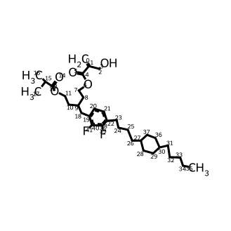 C=C(CO)C(=O)OCCC(CCOC(=O)C(C)C)Cc1ccc(CCCCC2CCC(CCCCC)CC2)c(F)c1F